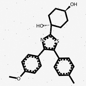 COc1ccc(-c2nc([C@]3(O)CC[C@H](O)CC3)sc2-c2ccc(C)cc2)cc1